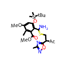 COC(=O)c1c(C)c(OC)cc(O[Si](C)(C)C(C)(C)C)c1C(N)SCC(C(C)=O)c1nc(C)no1